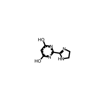 Oc1cc(O)nc(C2=NCCN2)n1